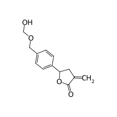 C=C1CC(c2ccc(COCO)cc2)OC1=O